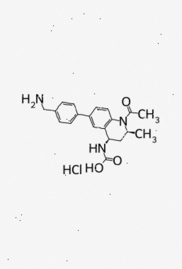 CC(=O)N1c2ccc(-c3ccc(CN)cc3)cc2[C@H](NC(=O)O)C[C@@H]1C.Cl